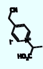 CC(C(=O)O)[n+]1ccc(CC#N)cc1.[I-]